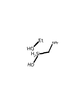 CCCC[SiH2]O.CCO